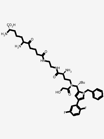 CC(C)(C)[C@H](c1cc(-c2cc(F)ccc2F)cn1Cc1ccccc1)N(CC[C@H](N)C(=O)NCCNC(=O)CCCC(=O)C(N)CCC[C@H](N)C(=O)O)C(=O)CO